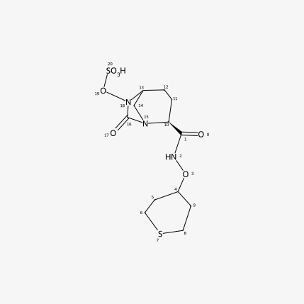 O=C(NOC1CCSCC1)[C@@H]1CCC2CN1C(=O)N2OS(=O)(=O)O